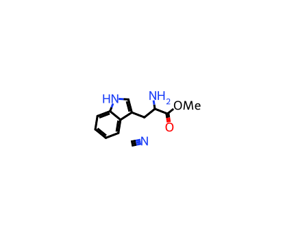 C#N.COC(=O)C(N)Cc1c[nH]c2ccccc12